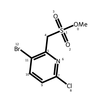 COS(=O)(=O)Cc1nc(Cl)ccc1Br